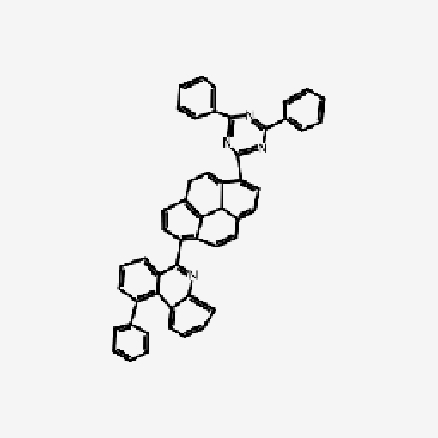 C1=Cc2c(-c3nc4ccccc4c4c(-c5ccccc5)cccc34)ccc3c2C2C1=CC=C(c1nc(-c4ccccc4)nc(-c4ccccc4)n1)C2=CC3